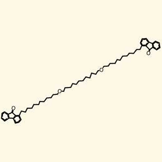 O=C1c2ccccc2-c2cccc(CCCCCCCCCCCCOCCCCCCCCCCCCOCCCCCCCCCCCCc3cccc4c3C(=O)c3ccccc3-4)c21